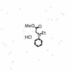 CCN(CC(=O)OC)c1ccccc1.Cl